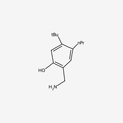 CCCc1cc(CN)c(O)cc1C(C)(C)C